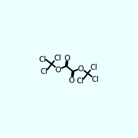 O=C(OC(Cl)(Cl)Cl)C(=O)OC(Cl)(Cl)Cl